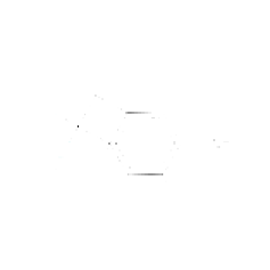 Cc1ccc2c(c1)CC2(F)F